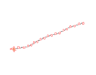 COCCOCCOCCOCCOCCOCCOCCOCCOCCOCCOCCOCCOCCOCCOCCOCCOCCOCCOS(=O)(=O)O